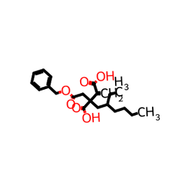 C=C(C(=O)O)C(CC(=O)OCc1ccccc1)(CC(CC)CCCC)C(=O)O